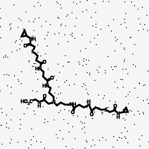 O=C(O)CNC(=O)CN(CCCNC(=O)CCNC(=O)CCSCC(=O)NC1CC1)CCCNC(=O)CCNC(=O)CCSCC(=O)NC1CC1